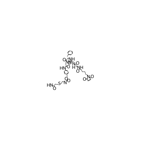 CNC(=O)CCSCCN(C)C(=O)OCc1ccc(NC(=O)CNC(=O)[C@H](Cc2ccccc2)NC(=O)CNC(=O)CNC(=O)CCCCCN2C(=O)C=CC2=O)cc1